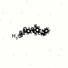 COC(=O)C[C@@H]1COc2cc(O[C@@H]3CCc4c(Oc5ncc6ccccc6n5)ccc(F)c43)ccc21